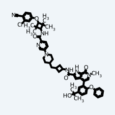 Cn1cc(-c2cc(C(C)(C)O)ccc2Oc2ccccc2)c2cc(C(=O)NC3CC(CC4CCN(c5ccc(C(=O)NC6C(C)(C)C(Oc7ccc(C#N)c(Cl)c7)C6(C)C)nc5)CC4)C3)[nH]c2c1=O